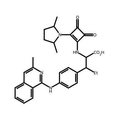 CCC(c1ccc(Nc2nc(C)cc3ccccc23)cc1)C(Nc1c(N2C(C)CCC2C)c(=O)c1=O)C(=O)O